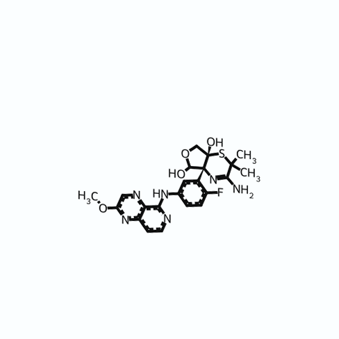 COc1cnc2c(Nc3ccc(F)c([C@]45N=C(N)C(C)(C)S[C@@]4(O)COC5O)c3)nccc2n1